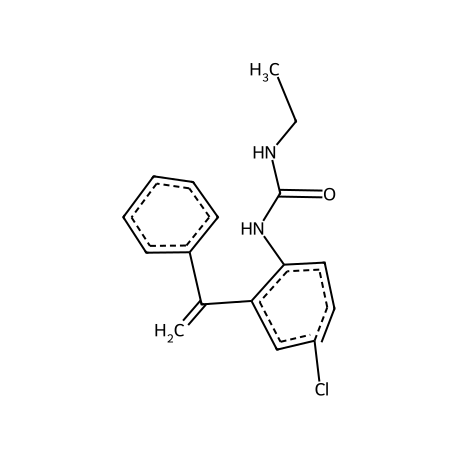 C=C(c1ccccc1)c1cc(Cl)ccc1NC(=O)NCC